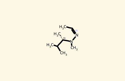 C/C=N\N(C)[C@@H](C)C(C)C